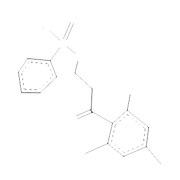 Cc1cc(C)c(C(=O)CCOP(=O)(Br)c2ccccc2)c(C)c1